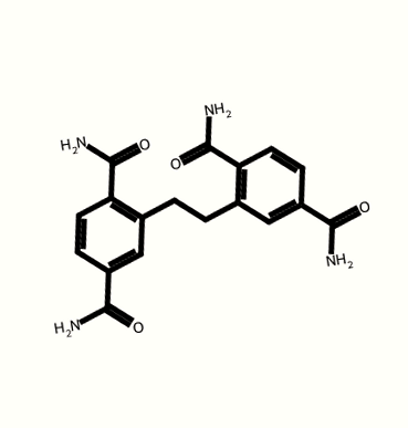 NC(=O)c1ccc(C(N)=O)c(CCc2cc(C(N)=O)ccc2C(N)=O)c1